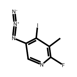 Cc1c(F)ncc(N=[N+]=[N-])c1I